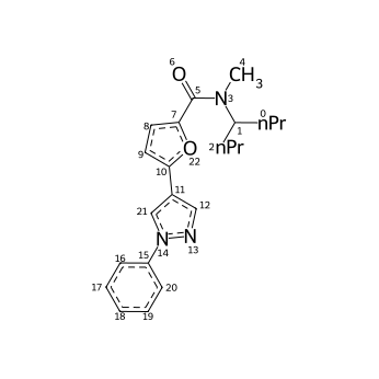 CCCC(CCC)N(C)C(=O)c1ccc(-c2cnn(-c3ccccc3)c2)o1